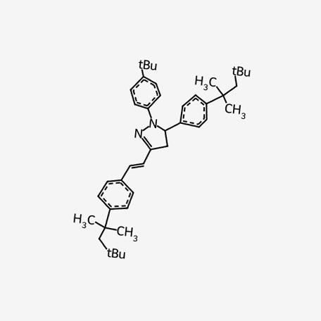 CC(C)(C)CC(C)(C)c1ccc(C=CC2=NN(c3ccc(C(C)(C)C)cc3)C(c3ccc(C(C)(C)CC(C)(C)C)cc3)C2)cc1